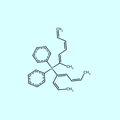 C=C/C=C\C=C(/C)S(C(/C=C\C)=C/C=C\C)(c1ccccc1)c1ccccc1